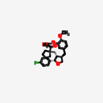 COc1ccc(C[C@H]2CO[C@H](c3ccc(F)cc3)[C@@H]2CC2(C(=O)O)CCCC2)cc1OC